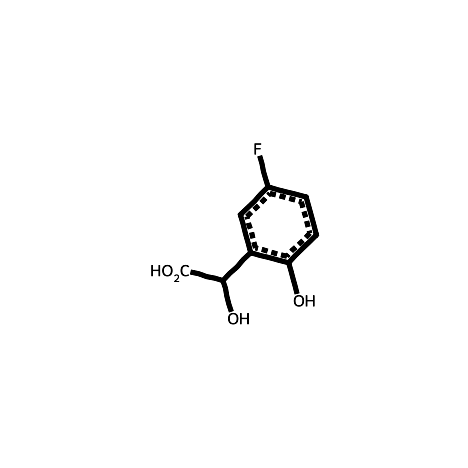 O=C(O)C(O)c1cc(F)ccc1O